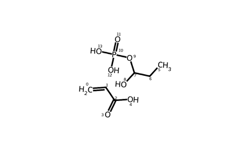 C=CC(=O)O.CCC(O)OP(=O)(O)O